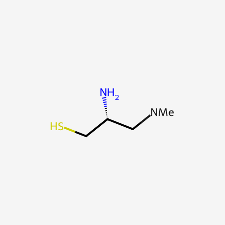 CNC[C@@H](N)CS